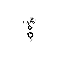 NC(=O)N(O)[C@H]1C[C@@H](c2ccc(Br)cc2)C1